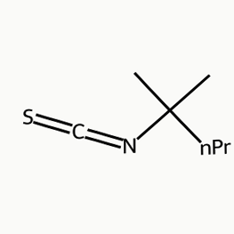 CCCC(C)(C)N=C=S